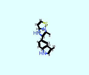 CC1=C(c2ccc3[nH]cc(C)c3c2)NC2C=CSN12